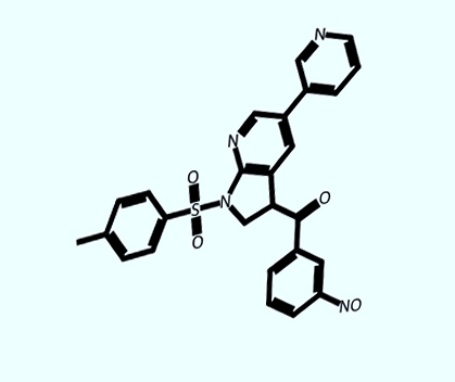 Cc1ccc(S(=O)(=O)N2CC(C(=O)c3cccc(N=O)c3)c3cc(-c4cccnc4)cnc32)cc1